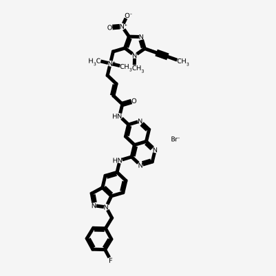 CC#Cc1nc([N+](=O)[O-])c(C[N+](C)(C)C/C=C/C(=O)Nc2cc3c(Nc4ccc5c(cnn5Cc5cccc(F)c5)c4)ncnc3cn2)n1C.[Br-]